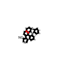 N#Cc1cnccc1-c1ccccc1-c1ccccc1N1c2ccccc2Sc2ccccc21